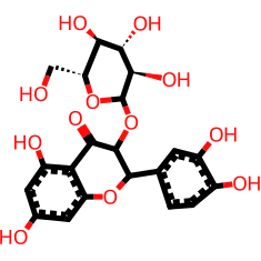 O=C1c2c(O)cc(O)cc2OC(c2ccc(O)c(O)c2)C1OC1O[C@H](CO)[C@@H](O)[C@H](O)[C@H]1O